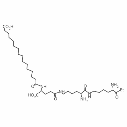 CCC(=O)[C@@H](N)CCCCNC(=O)[C@@H](N)CCCCNC(=O)CC[C@H](NC(=O)CCCCCCCCCCCCCCC(=O)O)C(=O)O